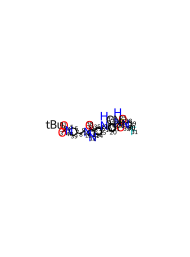 CC(C)(C)OC(=O)N1CCC(CCn2cnc3ccc(Nc4cccc(NS(=O)(=O)N5CC[C@@H](F)C5)c4C#N)cc3c2=O)CC1